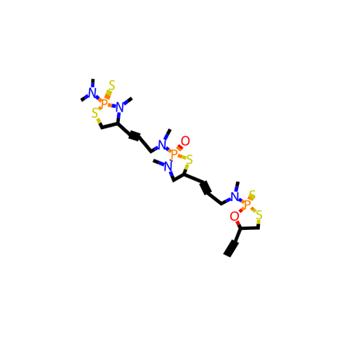 C#CC1CSP(=S)(N(C)CC#CC2CN(C)P(=O)(N(C)CC#CC3CSP(=S)(N(C)C)N3C)S2)O1